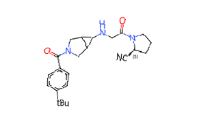 CC(C)(C)c1ccc(C(=O)N2CC3C(C2)C3NCC(=O)N2CCC[C@H]2C#N)cc1